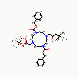 CC(C)(C)CC(=O)CN1CCN(C(=O)CCc2ccccc2)CCN(CC(=O)OC(C)(C)C)CCN(C(=O)OCc2ccccc2)CC1